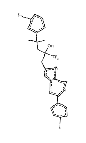 CC(C)(CC(O)(Cc1cc2cc(-c3ccc(F)cc3)ncc2[nH]1)C(F)(F)F)c1cccc(F)c1